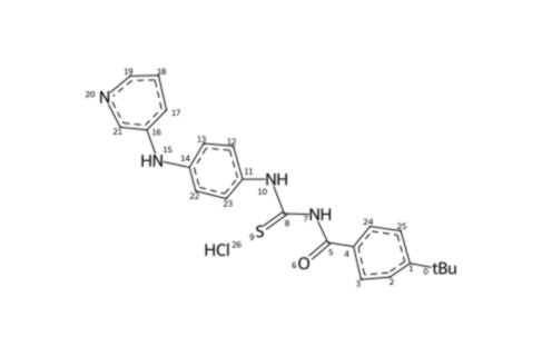 CC(C)(C)c1ccc(C(=O)NC(=S)Nc2ccc(Nc3cccnc3)cc2)cc1.Cl